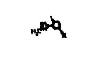 Cn1cc(-c2cc(C#N)ccc2I)cn1